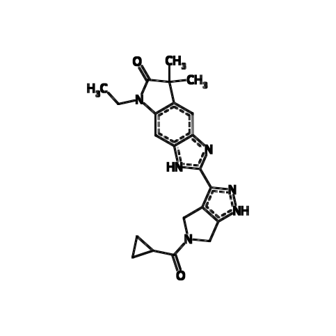 CCN1C(=O)C(C)(C)c2cc3nc(-c4n[nH]c5c4CN(C(=O)C4CC4)C5)[nH]c3cc21